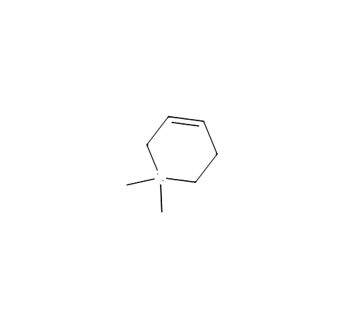 C[N+]1(C)CC=CCC1.[I-]